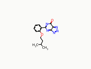 CC(C)CCOc1ccccc1C1=NC(=O)C2=NN=NC2=N1